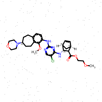 COCCOC(=O)C1[C@@H]2C=C[C@@H](C2)[C@H]1Nc1nc(Nc2ccc3c(c2OC)CC[C@@H](N2CCOCC2)CC3)ncc1Cl